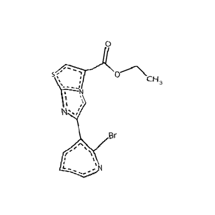 CCOC(=O)c1csc2nc(-c3cccnc3Br)cn12